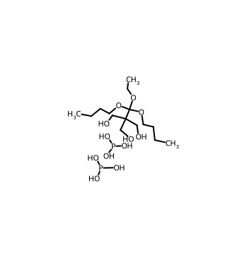 CCCCOC(OCC)(OCCCC)C(CO)(CO)CO.OP(O)O.OP(O)O